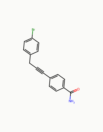 NC(=O)c1ccc(C#CCc2ccc(Br)cc2)cc1